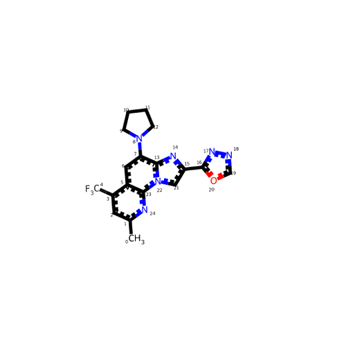 Cc1cc(C(F)(F)F)c2cc(N3CCCC3)c3nc(-c4nnco4)cn3c2n1